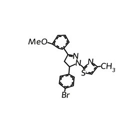 COc1cccc(C2=NN(c3nc(C)cs3)C(c3ccc(Br)cc3)C2)c1